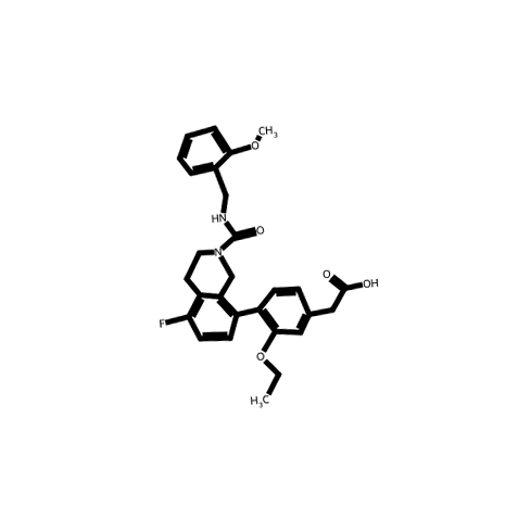 CCOc1cc(CC(=O)O)ccc1-c1ccc(F)c2c1CN(C(=O)NCc1ccccc1OC)CC2